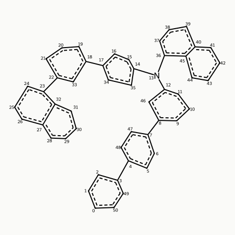 c1ccc(-c2ccc(-c3cccc(N(c4ccc(-c5cccc(-c6cccc7ccccc67)c5)cc4)c4cccc5ccccc45)c3)cc2)cc1